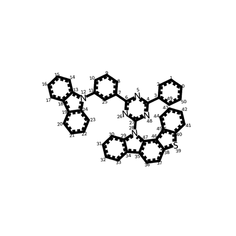 c1ccc(-c2nc(-c3cccc(-n4c5ccccc5c5ccccc54)c3)nc(-n3c4ccccc4c4ccc5sc6ccccc6c5c43)n2)cc1